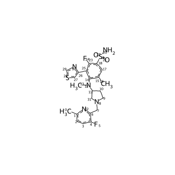 Cc1ccc(F)c(CN2CCC(N(C)c3c(C)cc(S(N)(=O)=O)c(F)c3-c3cscn3)C2)n1